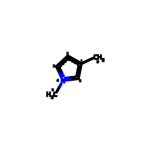 Cc1[c]cn(C)c1